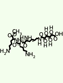 COC(=O)C(CCCCN)NC(=O)[C@H](CCCCN)NC(=O)[C@@H](N)CCCCNC(=O)[C@H](O)[C@@H](O)[C@@H](O)[C@H](O)C(=O)O